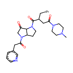 CC(C)CC(CC(=O)N1CCN(C)CC1)C(=O)N1CCC2C1C(=O)CN2C(=O)Cc1cccnc1